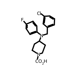 O=C(O)N1CCC(N(Cc2cccc(Cl)c2)c2ccc(F)cc2)CC1